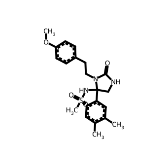 COc1ccc(CCN2C(=O)NCC2(NS(C)(=O)=O)c2ccc(C)c(C)c2)cc1